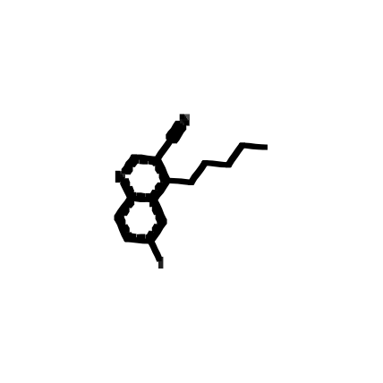 CCCCCc1c(C#N)cnc2ccc(I)cc12